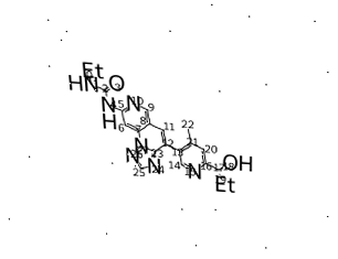 CCNC(=O)Nc1cc2c(cn1)cc(-c1cnc([C@H](O)CC)cc1C)c1ncnn12